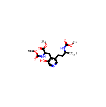 CC(C)(C)OC(=O)NC(CCc1cncc(O)c1CC(NC(=O)OC(C)(C)C)C(=O)OC(C)(C)C)C(=O)O